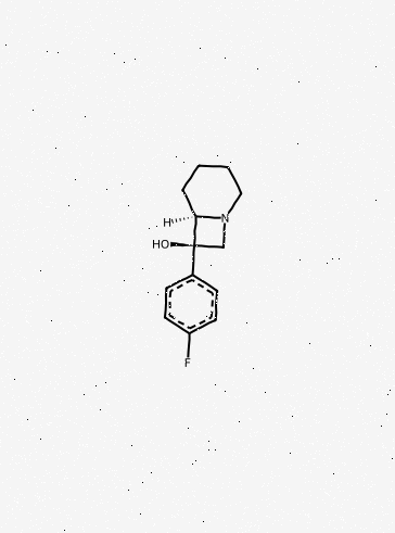 O[C@]1(c2ccc(F)cc2)CN2CCCC[C@@H]21